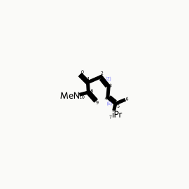 C=C(/C=C\C=C(/C)C(C)C)C(=C)NC